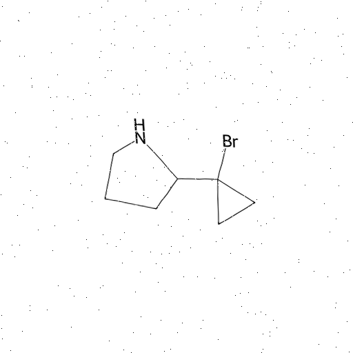 BrC1(C2CCCN2)CC1